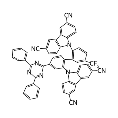 N#Cc1ccc2c(c1)c1cc(C#N)ccc1n2-c1ccc(C(F)(F)F)cc1-c1ccc(-c2nc(-c3ccccc3)nc(-c3ccccc3)n2)cc1-n1c2ccc(C#N)cc2c2cc(C#N)ccc21